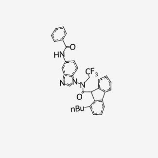 CCCCc1cccc2c1C(C(=O)N(CC(F)(F)F)n1cnc3cc(NC(=O)c4ccccc4)ccc31)c1ccccc1-2